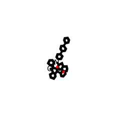 c1ccc(-c2ccc(-c3ccc(N(c4ccc5ccccc5c4)c4cccc5oc6c7ccccc7c(-c7ccccc7)cc6c45)cc3)cc2)cc1